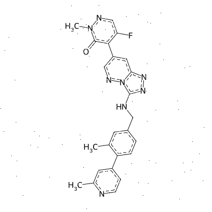 Cc1cc(-c2ccc(CNc3nnc4cc(-c5c(F)cnn(C)c5=O)cnn34)cc2C)ccn1